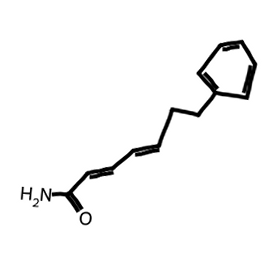 NC(=O)C=CC=CCCc1ccccc1